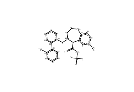 CC(C)(C)NC(=O)C1c2c[n+]([O-])cnc2OCCN1Cc1ccccc1-c1ccccc1F